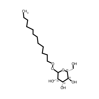 CCCCCCCCCCCCOOC1O[C@H](CO)[C@@H](O)[C@H](O)[C@@H]1O